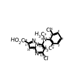 Cc1cccc(Cl)c1N(C)c1cc(Cl)nc2cc(C(=O)O)nn12